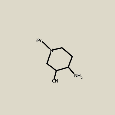 CC(C)N1CCC(N)C(C#N)C1